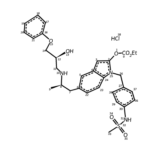 CCOC(=O)Oc1cc2cc(C[C@@H](C)NC[C@H](O)COc3ccccc3)ccc2n1Cc1ccc(NS(C)(=O)=O)cc1.Cl